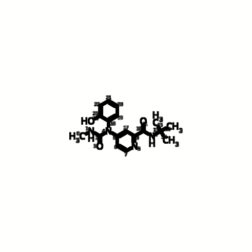 CNC(=O)N(c1ccnc(C(=O)NC(C)(C)C)c1)c1ccccc1O